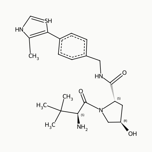 CC1=C(c2ccc(CNC(=O)[C@@H]3C[C@@H](O)CN3C(=O)[C@@H](N)C(C)(C)C)cc2)[SH]=CN1